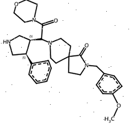 COc1ccc(CN2CCC3(CCN(C(C(=O)N4CCOCC4)[C@@H]4CNC[C@@H]4c4ccccc4)CC3)C2=O)cc1